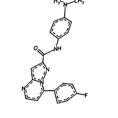 CN(C)c1ccc(NC(=O)c2cc3nccc(-c4ccc(F)cc4)n3n2)cc1